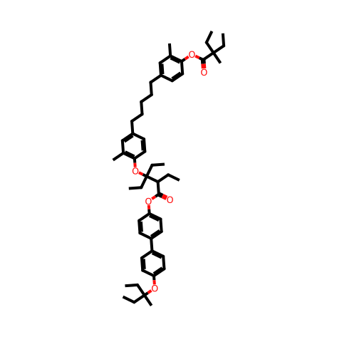 CCC(C(=O)Oc1ccc(-c2ccc(OC(C)(CC)CC)cc2)cc1)C(CC)(CC)Oc1ccc(CCCCCc2ccc(OC(=O)C(C)(CC)CC)c(C)c2)cc1C